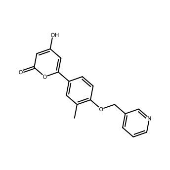 Cc1cc(-c2cc(O)cc(=O)o2)ccc1OCc1cccnc1